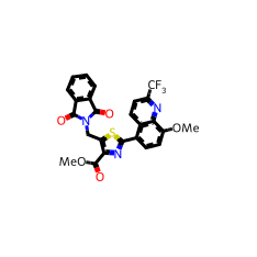 COC(=O)c1nc(-c2ccc(OC)c3nc(C(F)(F)F)ccc23)sc1CN1C(=O)c2ccccc2C1=O